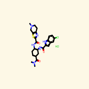 CN1CCc2nc(C(=O)NC3CCC(C(=O)N(C)C)CC3NC(=O)c3cc4cc(Cl)ccc4[nH]3)sc2C1.Cl